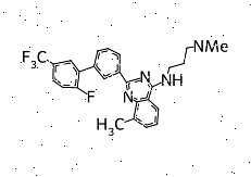 CNCCCNc1nc(-c2cccc(-c3cc(C(F)(F)F)ccc3F)c2)nc2c(C)cccc12